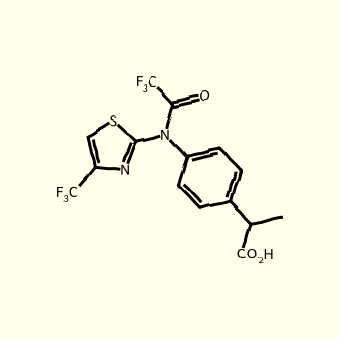 CC(C(=O)O)c1ccc(N(C(=O)C(F)(F)F)c2nc(C(F)(F)F)cs2)cc1